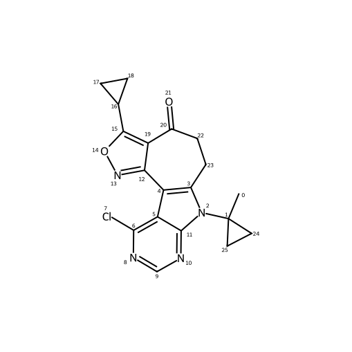 CC1(n2c3c(c4c(Cl)ncnc42)-c2noc(C4CC4)c2C(=O)CC3)CC1